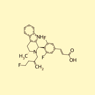 C=C(CCF)CN1[C@H](c2c(F)cc(/C=C/C(=O)O)cc2F)c2[nH]c3ccccc3c2C[C@H]1C